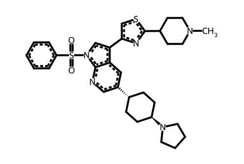 CN1CCC(c2nc(-c3cn(S(=O)(=O)c4ccccc4)c4ncc([C@H]5CC[C@H](N6CCCC6)CC5)cc34)cs2)CC1